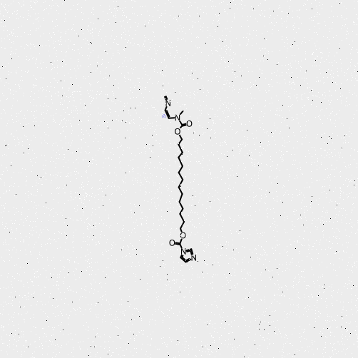 C=N/C=C\N(C)C(=O)OCCCCCCCCCCCCCCOC(=O)n1ccnc1